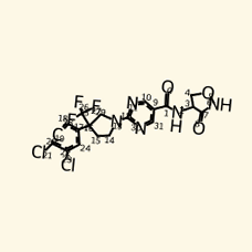 O=C(NC1CONC1=O)c1cnc(N2CCC(c3ccc(Cl)c(Cl)c3)(C(F)(F)F)C2)nc1